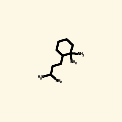 NC(N)CCC1CCCCC1(N)N